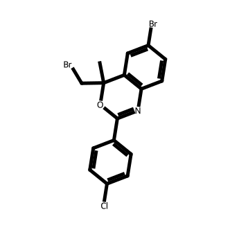 CC1(CBr)OC(c2ccc(Cl)cc2)=Nc2ccc(Br)cc21